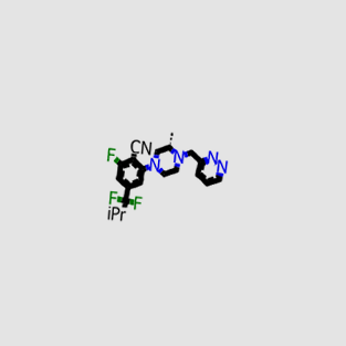 CC(C)C(F)(F)c1cc(F)c(C#N)c(N2CCN(Cc3cccnn3)[C@@H](C)C2)c1